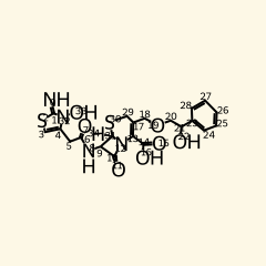 N=c1scc(CC(=O)NC2C(=O)N3C(C(=O)O)=C(COCC(O)c4ccccc4)CS[C@@H]23)n1O